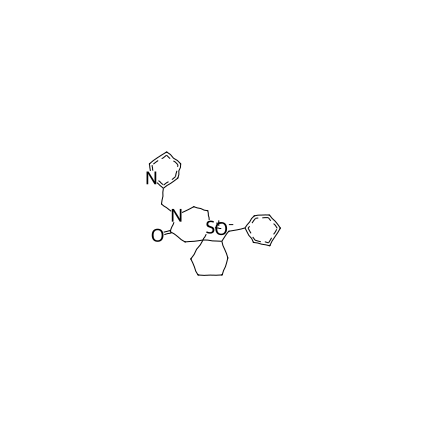 O=C1CC2(CCCCC2Cc2ccccc2)[S+]([O-])CCN1Cc1ccccn1